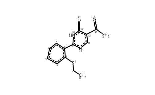 CCSc1ccccc1-c1ncc(C(N)=O)c(=O)[nH]1